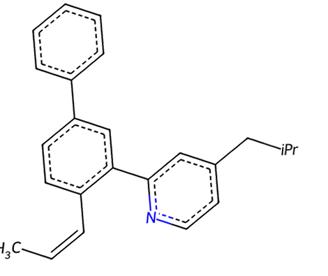 C/C=C\c1ccc(-c2ccccc2)cc1-c1cc(CC(C)C)ccn1